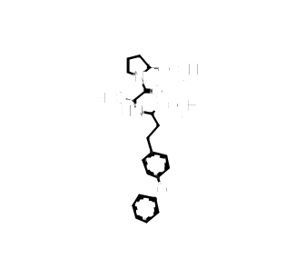 C[C@H](NC(CCc1ccc(Oc2ccccc2)cc1)C(=O)O)C(=O)N1CCC[C@H]1C(=O)O